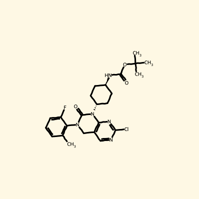 Cc1cccc(F)c1N1Cc2cnc(Cl)nc2N([C@H]2CC[C@H](NC(=O)OC(C)(C)C)CC2)C1=O